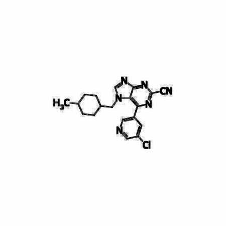 CC1CCC(Cn2cnc3nc(C#N)nc(-c4cncc(Cl)c4)c32)CC1